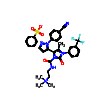 Cc1c(-c2ccnn2-c2ccc(C#N)cc2)n(C(=O)NCC[N+](C)(C)C)c(=O)n1-c1cccc(C(F)(F)F)c1.O=S(=O)([O-])c1ccccc1